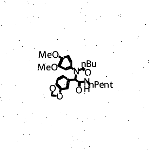 CCCCCNC(=O)C(c1ccc2c(c1)OCO2)N(C(=O)CCCC)c1ccc(OC)c(OC)c1